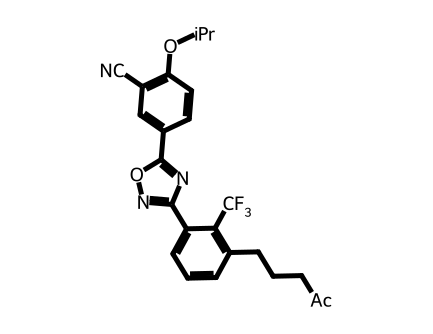 CC(=O)CCCc1cccc(-c2noc(-c3ccc(OC(C)C)c(C#N)c3)n2)c1C(F)(F)F